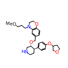 COCCCN1CCOc2ccc(CO[C@H]3CNCC[C@@H]3c3ccc(OC4CCOC4)cc3)cc21